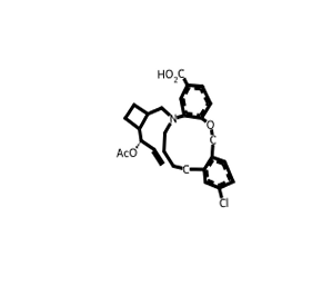 C=C[C@H](OC(C)=O)C1CCC1CN1CCCCc2cc(Cl)ccc2COc2ccc(C(=O)O)cc21